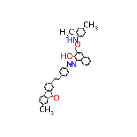 Cc1ccc(NOCc2cc3ccccc3c(N=Nc3ccc(C=Cc4ccc5c(c4)C(=O)c4cc(C)ccc4-5)cc3)c2O)c(C)c1